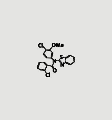 COc1cc(N(C(=O)c2ccccc2Cl)c2nc3ccccc3s2)ccc1Cl